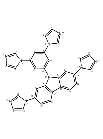 c1cn(-c2cc(-n3ccnc3)cc(-n3c4cc(-n5ccnc5)ccc4c4ccc(-n5ccnc5)cc43)c2)cn1